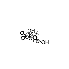 Cc1cc(SC2=C(O)CC(C3CCCC3)(C3CCCC3)OC2=O)c(C(C)(C)C)cc1OCCO